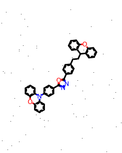 c1ccc2c(c1)Oc1ccccc1C2CCc1ccc(-c2nnc(-c3ccc(N4c5ccccc5Oc5ccccc54)cc3)o2)cc1